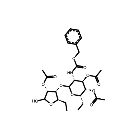 CC[C@@H]1OC(O[C@@H]2[C@@H](CC)OC(O)[C@@H]2OC(C)=O)[C@H](NC(=O)OCc2ccccc2)[C@@H](OC(C)=O)[C@@H]1OC(C)=O